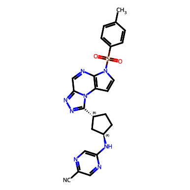 Cc1ccc(S(=O)(=O)n2ccc3c2ncc2nnc([C@@H]4CC[C@@H](Nc5cnc(C#N)cn5)C4)n23)cc1